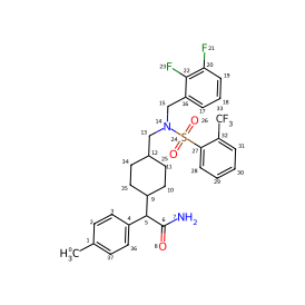 Cc1ccc(C(C(N)=O)C2CCC(CN(Cc3cccc(F)c3F)S(=O)(=O)c3ccccc3C(F)(F)F)CC2)cc1